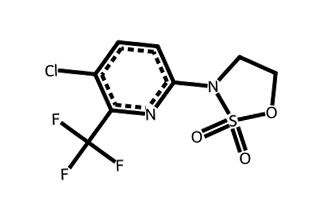 O=S1(=O)OCCN1c1ccc(Cl)c(C(F)(F)F)n1